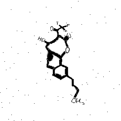 CCCCc1ccc2ccc3c(O)c(C(=O)C(F)(F)F)c(=O)oc3c2c1